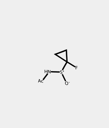 CC(=O)N[S+]([O-])C1(F)CC1